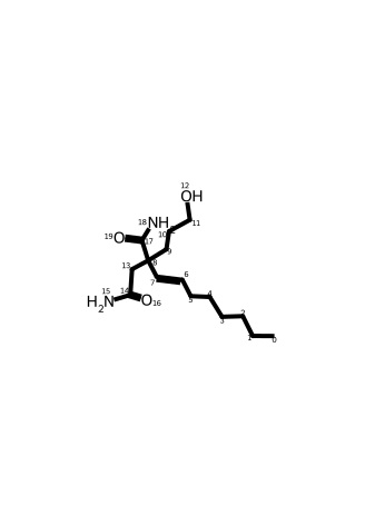 CCCCCCC=CC(CCCO)(CC(N)=O)C(N)=O